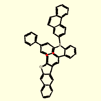 c1ccc(-c2cccc(N(c3ccc4c(ccc5ccccc54)c3)c3ccccc3-c3ccc4oc5cc6ccccc6cc5c4c3)c2)cc1